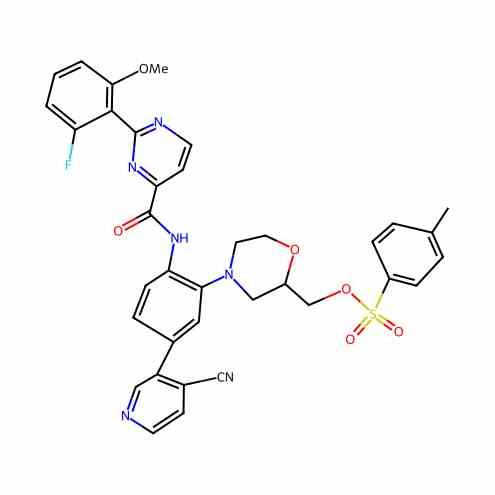 COc1cccc(F)c1-c1nccc(C(=O)Nc2ccc(-c3cnccc3C#N)cc2N2CCOC(COS(=O)(=O)c3ccc(C)cc3)C2)n1